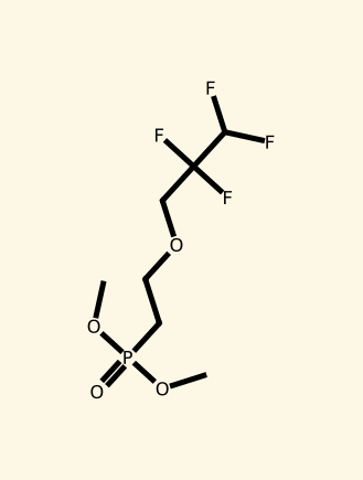 COP(=O)(CCOCC(F)(F)C(F)F)OC